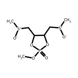 COP1(=O)OC(C[S+](C)[O-])C(C[S+](C)[O-])O1